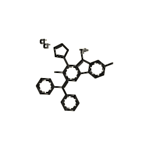 Cc1ccc2c(c1)[C]([Ti+2])=c1c-2cc(=C(c2ccccc2)c2ccccc2)c(C)c1C1=CC=CC1.[Cl-].[Cl-]